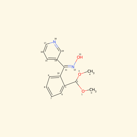 COC(OC)c1ccccc1C(=NO)c1cccnc1